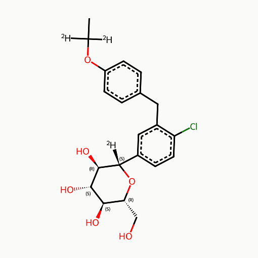 [2H]C([2H])(C)Oc1ccc(Cc2cc([C@]3([2H])O[C@H](CO)[C@@H](O)[C@H](O)[C@H]3O)ccc2Cl)cc1